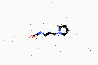 O=C=NC=CCn1cccc1